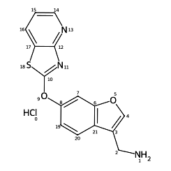 Cl.NCc1coc2cc(Oc3nc4ncccc4s3)ccc12